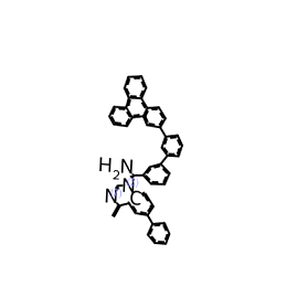 C=C(/N=C\N=C(/N)c1cccc(-c2cccc(-c3ccc4c5ccccc5c5ccccc5c4c3)c2)c1)c1cccc(-c2ccccc2)c1